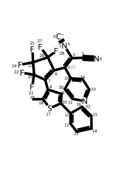 [C-]#[N+]/C(C#N)=C(\C1=C(c2cc(-c3ccccc3)sc2C)C(F)(F)C(F)(F)C1(F)F)c1ccncc1